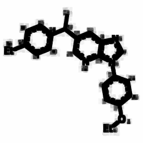 CCOc1ccc(-n2cnc3cc(C(C)c4ccc(CC)cc4)cnc32)cc1